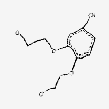 N#Cc1ccc(OCCCl)c(OCCCl)c1